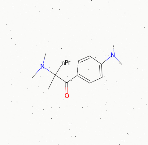 CCCC(C)(C(=O)c1ccc(N(C)C)cc1)N(C)C